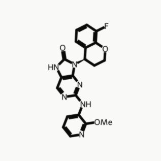 COc1ncccc1Nc1ncc2[nH]c(=O)n([C@@H]3CCOc4c(F)cccc43)c2n1